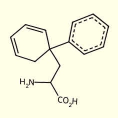 NC(CC1(c2ccccc2)C=CC=CC1)C(=O)O